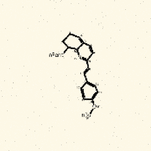 CCCCCC1CCC=C2C=CC(C=Cc3ccc(OCCCC)cc3)=NC21